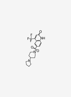 O=c1cc(C(F)(F)F)c2cc(S(=O)(=O)N3CCC(N4CCCC4)CC3)ccc2[nH]1